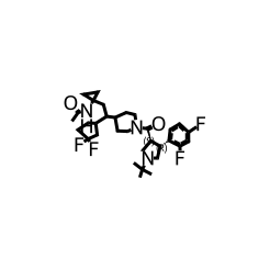 CC(=O)NC1(CC(C2CCN(C(=O)[C@@H]3CN(C(C)(C)C)C[C@H]3c3ccc(F)cc3F)CC2)C2CCC(F)(F)C2)CC1